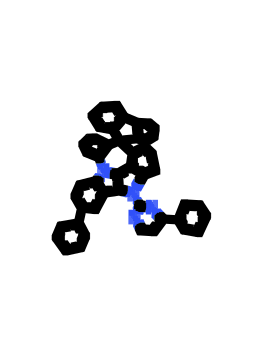 c1ccc(-c2ccc3c(c2)c2c4c5c(cccc5n2-c2nccc(-c5ccccc5)n2)C2(c5ccccc5-c5ccccc52)c2ccccc2-n34)cc1